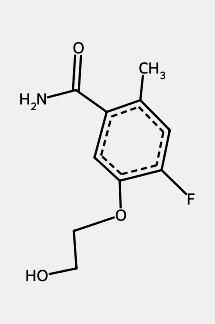 Cc1cc(F)c(OCCO)cc1C(N)=O